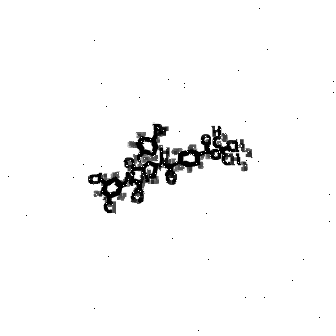 CC(C)(C)OC(=O)c1ccc(C(=O)N[C@H]2CN3C(=O)N(c4cc(Cl)cc(Cl)c4)C(=O)[C@@]3(Cc3ccc(Br)cc3)C2)cc1